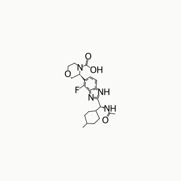 CC(=O)N[C@H](c1nc2c(F)c([C@H]3COCCN3C(=O)O)ccc2[nH]1)C1CCC(C)CC1